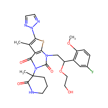 COc1ccc(F)cc1C(Cn1c(=O)n(C2(C)CCCNC2=O)c(=O)c2c(C)c(-n3nccn3)sc21)OCCO